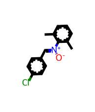 Cc1cccc(C)c1[N+]([O-])=Cc1ccc(Cl)cc1